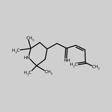 C=C(C)/C=C\C(=N)CC1CC(C)(C)NC(C)(C)C1